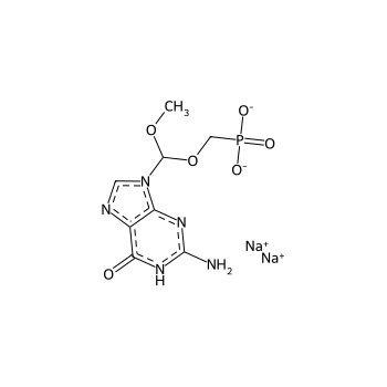 COC(OCP(=O)([O-])[O-])n1cnc2c(=O)[nH]c(N)nc21.[Na+].[Na+]